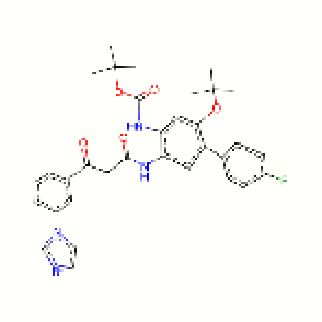 CC(C)(C)OC(=O)Nc1cc(OC(C)(C)C)c(-c2ccc(F)cc2)cc1NC(=O)CC(=O)c1cccc(-n2ccnc2)c1